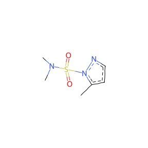 Cc1ccnn1S(=O)(=O)N(C)C